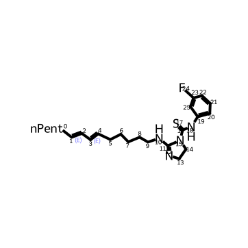 CCCCC/C=C/C=C/CCCCCNC1=NCCN1C(=S)Nc1cccc(F)c1